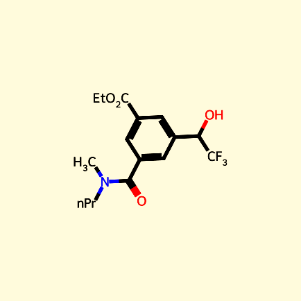 CCCN(C)C(=O)c1cc(C(=O)OCC)cc(C(O)C(F)(F)F)c1